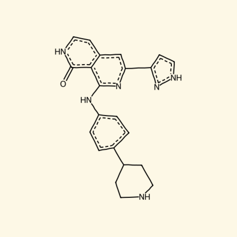 O=c1[nH]ccc2cc(-c3cc[nH]n3)nc(Nc3ccc(C4CCNCC4)cc3)c12